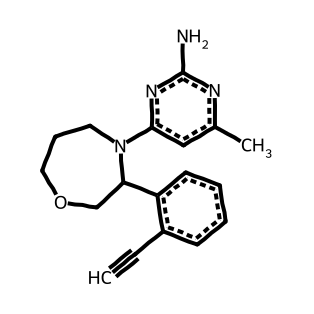 C#Cc1ccccc1C1COCCCN1c1cc(C)nc(N)n1